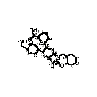 NCc1ccc(-c2nc3[nH]c(=O)n(CC4CCCCC4)c3nc2-c2cccc(C(N)=O)c2)cc1